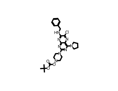 CC(C)(C)OC(=O)ON1CCN(c2nc(N3CCCC3)c3nc(Cl)c(NCc4ccccc4)nc3n2)CC1